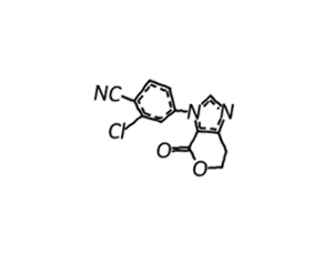 N#Cc1ccc(-n2cnc3c2C(=O)OCC3)cc1Cl